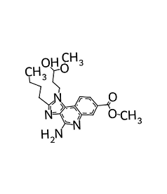 CCCCc1nc2c(N)nc3cc(C(=O)OC)ccc3c2n1CCC(O)OC